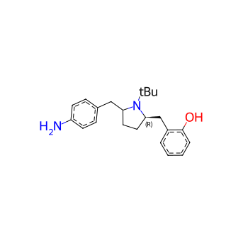 CC(C)(C)N1C(Cc2ccc(N)cc2)CC[C@@H]1Cc1ccccc1O